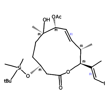 CC(=O)O[C@@H]1/C=C/[C@H](C)[C@@H](/C(C)=C/I)OC(=O)C[C@H](O[Si](C)(C)C(C)(C)C)CC[C@@]1(C)O